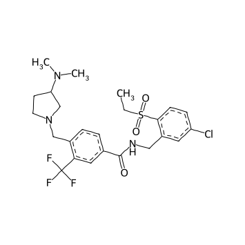 CCS(=O)(=O)c1ccc(Cl)cc1CNC(=O)c1ccc(CN2CCC(N(C)C)C2)c(C(F)(F)F)c1